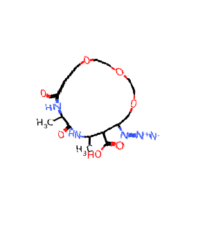 CC1NC(=O)CCOCCOCCOCC(N=[N+]=[N-])C(C(=O)O)C(C)NC1=O